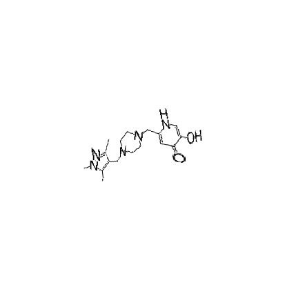 Cc1nn(C)c(C)c1CN1CCN(Cc2cc(=O)c(O)c[nH]2)CC1